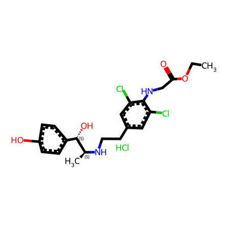 CCOC(=O)CNc1c(Cl)cc(CCN[C@@H](C)[C@@H](O)c2ccc(O)cc2)cc1Cl.Cl